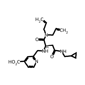 C=CCN(CC=C)C(=O)[C@@H](CC(=O)NCC1CC1)NCc1cc(C(=O)O)ccn1